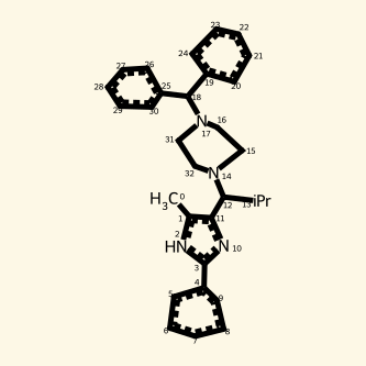 Cc1[nH]c(-c2ccccc2)nc1C(C(C)C)N1CCN(C(c2ccccc2)c2ccccc2)CC1